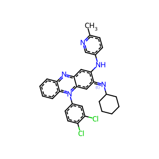 Cc1ccc(Nc2cc3nc4ccccc4n(-c4ccc(Cl)c(Cl)c4)c-3c/c2=N\C2CCCCC2)cn1